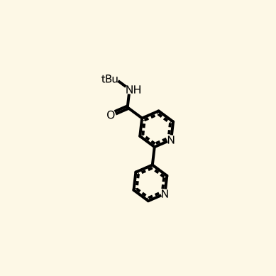 CC(C)(C)NC(=O)c1ccnc(-c2cccnc2)c1